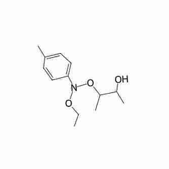 CCON(OC(C)C(C)O)c1ccc(C)cc1